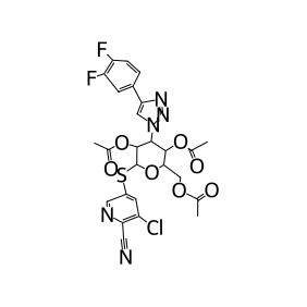 CC(=O)OCC1OC(Sc2cnc(C#N)c(Cl)c2)C(OC(C)=O)C(n2cc(-c3ccc(F)c(F)c3)nn2)C1OC(C)=O